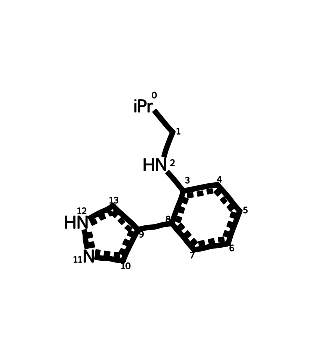 CC(C)CNc1ccccc1-c1cn[nH]c1